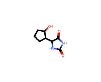 O=C1NC(=O)C(C2CCCC2O)N1